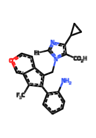 CCc1nc(C2CC2)c(C(=O)O)n1Cc1c2ccocc-2c(C(F)(F)F)c1-c1ccccc1N